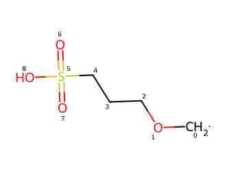 [CH2]OCCCS(=O)(=O)O